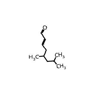 CC(C)CC(C)CC=CC=O